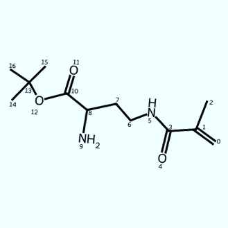 C=C(C)C(=O)NCCC(N)C(=O)OC(C)(C)C